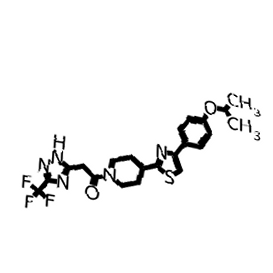 CC(C)Oc1ccc(-c2csc(C3CCN(C(=O)Cc4nc(C(F)(F)F)n[nH]4)CC3)n2)cc1